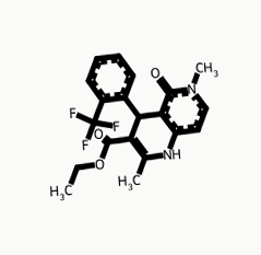 CCOC(=O)C1=C(C)Nc2ccn(C)c(=O)c2C1c1ccccc1C(F)(F)F